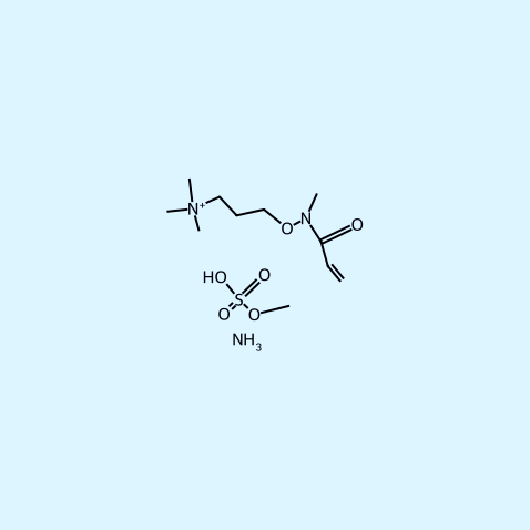 C=CC(=O)N(C)OCCC[N+](C)(C)C.COS(=O)(=O)O.N